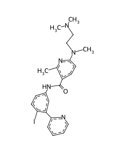 Cc1nc(N(C)CCN(C)C)ccc1C(=O)Nc1ccc(I)c(-c2ccccn2)c1